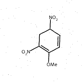 COC1=C([N+](=O)[O-])CC([N+](=O)[O-])C=C1